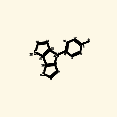 Cc1ccc(-n2c3ccsc3c3sccc32)cc1